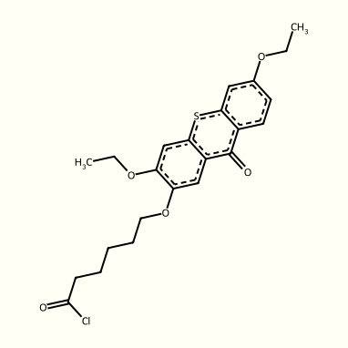 CCOc1ccc2c(=O)c3cc(OCCCCCC(=O)Cl)c(OCC)cc3sc2c1